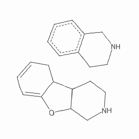 C1=CCC2C(=C1)OC1CNCCC12.c1ccc2c(c1)CCNC2